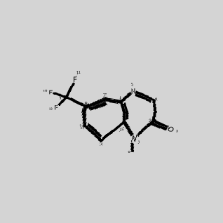 Cn1c(=O)cnc2cc(C(F)(F)F)ccc21